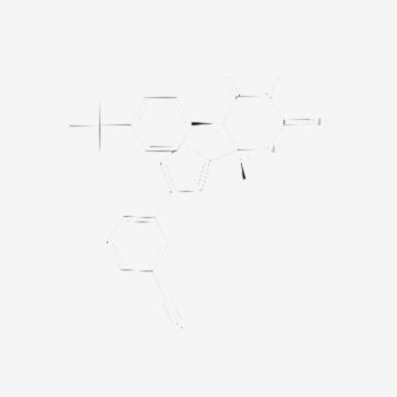 CN1C(=N)N[C@](C)(c2cc(-c3cccc(C#N)c3)cs2)[C@@H](c2ccc(C(C)(F)F)c(F)c2)C1=O